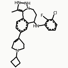 CC1=C2c3ccc(C4=CCN(C5CCC5)CC4)cc3C(Nc3cccc(Cl)c3F)CCN2NN1